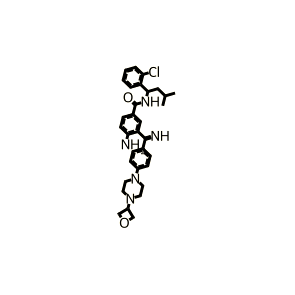 CC(C)CC(NC(=O)c1ccc(N)c(C(=N)c2ccc(N3CCN(C4COC4)CC3)cc2)c1)c1ccccc1Cl